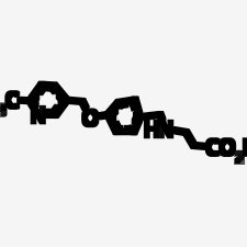 CCOC(=O)CCNCc1ccc(OCc2ccc(C)nc2)cc1